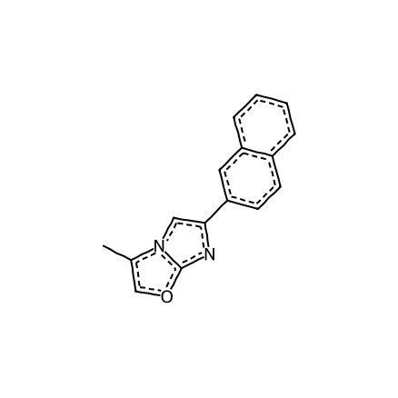 Cc1coc2nc(-c3ccc4ccccc4c3)cn12